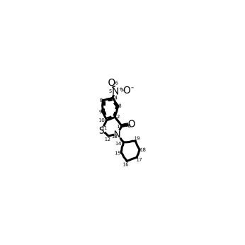 O=C1c2cc([N+](=O)[O-])ccc2SCN1C1CCCCC1